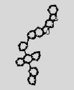 c1cc(-c2ccc3cc4c(cc3c2)oc2cc3sc5ccccc5c3cc24)cc(-c2c3ccccc3c(-c3ccc4ccccc4c3)c3ccccc23)c1